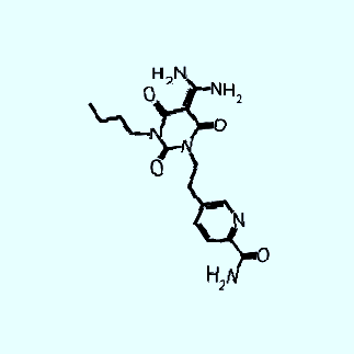 CCCCN1C(=O)C(=C(N)N)C(=O)N(CCc2ccc(C(N)=O)nc2)C1=O